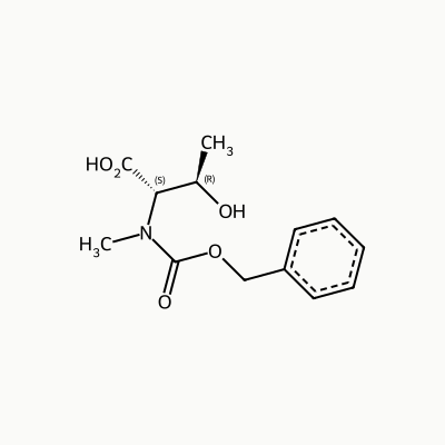 C[C@@H](O)[C@@H](C(=O)O)N(C)C(=O)OCc1ccccc1